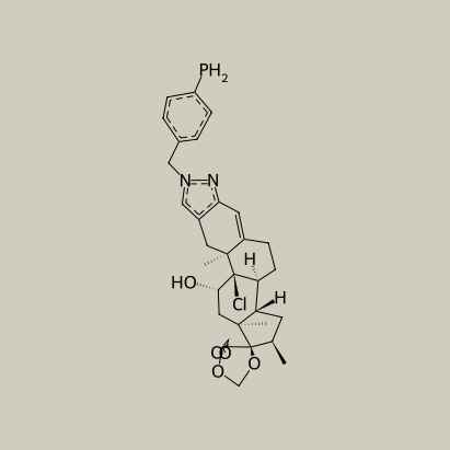 C[C@@H]1C[C@H]2[C@@H]3CCC4=Cc5nn(Cc6ccc(P)cc6)cc5C[C@]4(C)[C@@]3(Cl)[C@@H](O)C[C@]2(C)[C@]12OCOC21COCO1